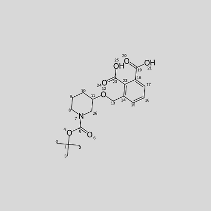 CC(C)(C)OC(=O)N1CCCC(OCc2cccc(C(=O)O)c2C(=O)O)C1